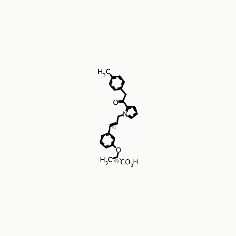 Cc1ccc(CC(=O)c2cccn2C/C=C/c2cccc(O[C@@H](C)C(=O)O)c2)cc1